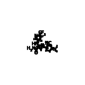 CN(C)C1CCC(n2cc(C(N)=O)c(Nc3ccc(C(F)(F)F)nc3)n2)C(C#N)C1